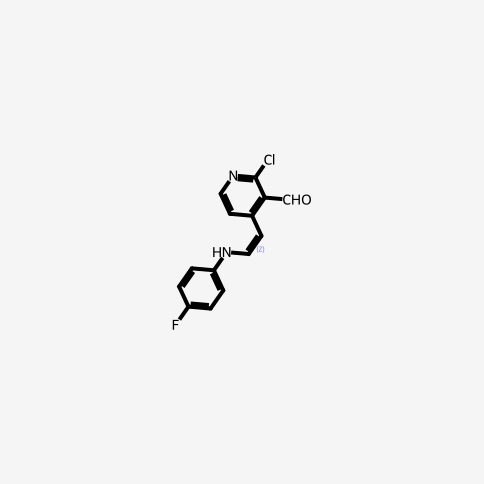 O=Cc1c(/C=C\Nc2ccc(F)cc2)ccnc1Cl